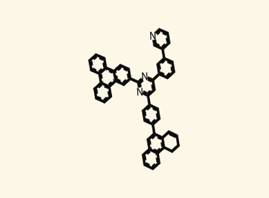 C1=Cc2c(-c3ccc(-c4cc(-c5cccc(-c6cccnc6)c5)nc(-c5ccc6c7ccccc7c7ccccc7c6c5)n4)cc3)cc3ccccc3c2CC1